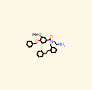 COc1cc(C(=O)N(CCN)Cc2ccccc2CCc2ccccc2F)ccc1OCc1ccccc1